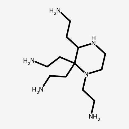 NCCC1NCCN(CCN)C1(CCN)CCN